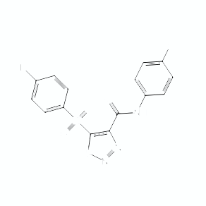 Cc1ccc(NC(=O)c2nnsc2S(=O)(=O)c2ccc(F)cc2)cc1